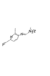 CCN(C)/C=N/c1ccc(F)nc1C